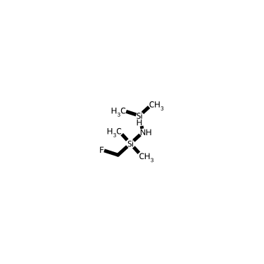 C[SiH](C)N[Si](C)(C)CF